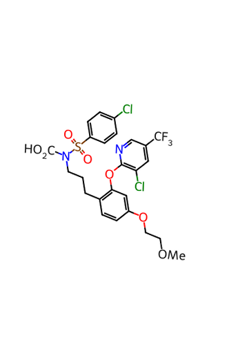 COCCOc1ccc(CCCN(C(=O)O)S(=O)(=O)c2ccc(Cl)cc2)c(Oc2ncc(C(F)(F)F)cc2Cl)c1